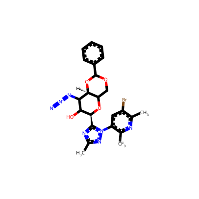 Cc1nc([C@@H]2OC3COC(c4ccccc4)O[C@@H]3C(N=[N+]=[N-])C2O)n(-c2cc(Br)c(C)nc2C(F)(F)F)n1